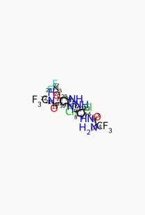 NC(C(=O)NCc1ccc(Cl)c(Nc2nc3cc(C(=O)NCC(F)(F)F)c(OCC(F)F)cc3[nH]2)c1Cl)C(F)(F)F